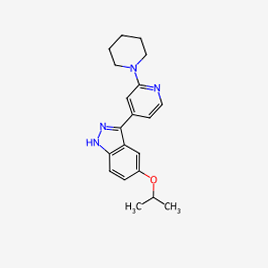 CC(C)Oc1ccc2[nH]nc(-c3ccnc(N4CCCCC4)c3)c2c1